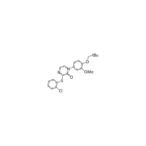 COc1cc(-n2ccnc(Sc3ccccc3Cl)c2=O)ccc1OCC(C)(C)C